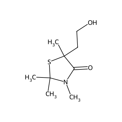 CN1C(=O)C(C)(CCO)SC1(C)C